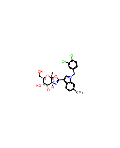 COc1ccc2c(C3=N[C@H]4[C@@H](O3)O[C@H](CO)[C@@H](O)[C@@H]4O)cn(Cc3ccc(Cl)c(Cl)c3)c2c1